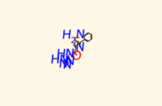 Nc1ccccc1-c1nc(C(=O)Nc2nnn[nH]2)cs1